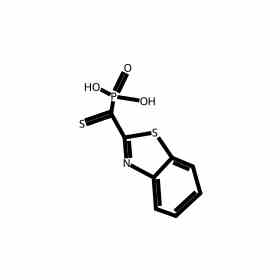 O=P(O)(O)C(=S)c1nc2ccccc2s1